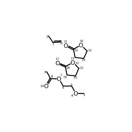 C=CC.COCCOC(C)=O.O=C1CCCO1.O=C1CCCO1